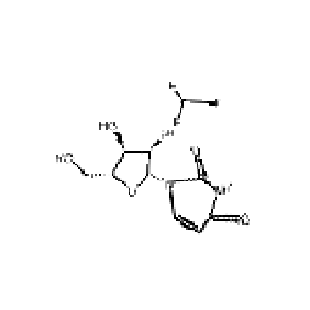 FC(F)F.O=c1ccn([C@@H]2O[C@H](CO)[C@@H](O)[C@H]2O)c(=O)[nH]1